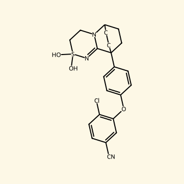 N#Cc1ccc(Cl)c(Oc2ccc(C34CCC(CC3)N3CCS(O)(O)N=C34)cc2)c1